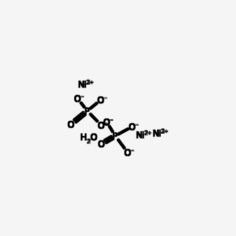 O.O=P([O-])([O-])[O-].O=P([O-])([O-])[O-].[Ni+2].[Ni+2].[Ni+2]